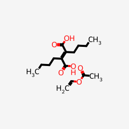 C=COC(C)=O.CCCCC(C(=O)O)=C(CCCC)C(=O)O